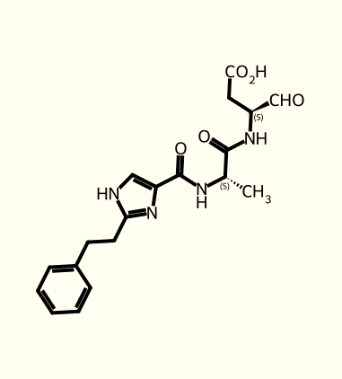 C[C@H](NC(=O)c1c[nH]c(CCc2ccccc2)n1)C(=O)N[C@H](C=O)CC(=O)O